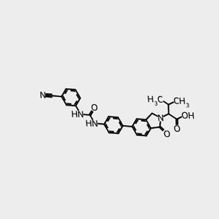 CC(C)C(C(=O)O)N1Cc2cc(-c3ccc(NC(=O)Nc4cccc(C#N)c4)cc3)ccc2C1=O